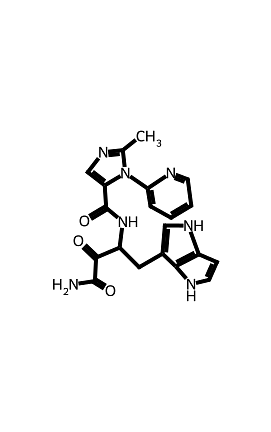 Cc1ncc(C(=O)NC(Cc2c[nH]c3cc[nH]c23)C(=O)C(N)=O)n1-c1ccccn1